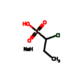 CCC(Cl)S(=O)(=O)O.[NaH]